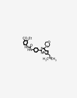 CCOC(=O)c1ccc(NC(=O)Nc2ccc(-c3nc(N4CCOCC4)c4cc(CN(C)C)cn4n3)cc2)cc1